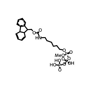 COP(=O)(OCCCCCCNC(=O)OCC1c2ccccc2C2C=CC=CC21)OP(=O)(O)OP(=O)(O)O